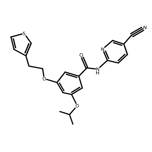 CC(C)Oc1cc(OCCc2ccsc2)cc(C(=O)Nc2ccc(C#N)cn2)c1